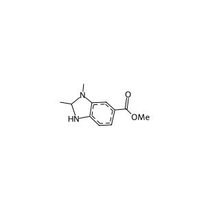 COC(=O)c1ccc2c(c1)N(C)C(C)N2